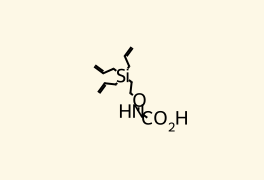 C=CC[Si](CC=C)(CC=C)CCONC(=O)O